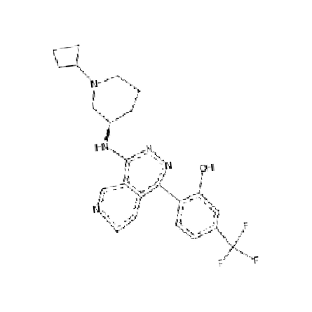 Oc1cc(C(F)(F)F)ccc1-c1nnc(N[C@@H]2CCCN(C3CCC3)C2)c2cnccc12